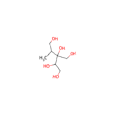 CC(CO)C(O)(CO)C(O)CO